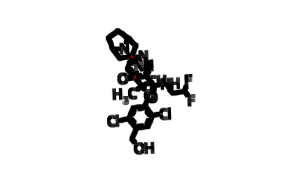 CC(C)(Oc1cc(Cl)c(CO)cc1Cl)C(=O)NC1CC2CCC(C1)N2c1ccc(C(=O)NCC(F)F)cn1